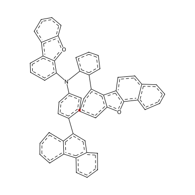 c1ccc(N(c2ccc(-c3cc4ccccc4c4ccccc34)cc2)c2cccc3c2oc2ccccc23)c(-c2cccc3oc4c5ccccc5ccc4c23)c1